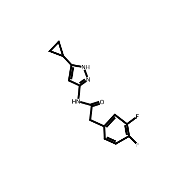 O=C(Cc1ccc(F)c(F)c1)Nc1cc(C2CC2)[nH]n1